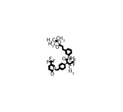 C[C@H]([C@H](C(=O)Nc1cccc(CCC(=O)OC(C)(C)C)c1)C1C=CC(Cn2cc(C(F)(F)F)ccc2=O)=CC1)C(F)(F)F